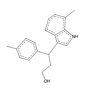 Cc1ccc(C(CCO)c2c[nH]c3c(C)cccc23)cc1